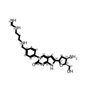 N=CNCCCNCc1ccc(-n2cc3cc(C4C[C@@H](N)[C@@H](CO)O4)[nH]c3nc2=O)cc1